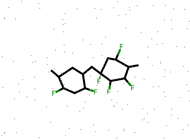 CC1CC(C[C@@]2(F)CC(F)C(C)C(F)C2F)C(F)CC1F